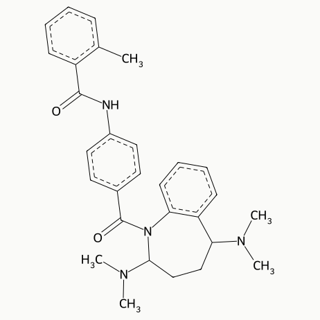 Cc1ccccc1C(=O)Nc1ccc(C(=O)N2c3ccccc3C(N(C)C)CCC2N(C)C)cc1